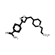 N=C(N)c1ccc(C2=NOC(CC3CCN(CCC(=O)O)CC3)C2)cc1